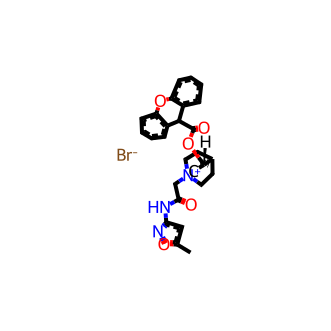 Cc1cc(NC(=O)C[N+]23CCC(CC2)[C@@H](OC(=O)C2c4ccccc4Oc4ccccc42)C3)no1.[Br-]